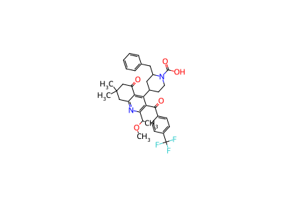 COC(C)c1nc2c(c(C3CCN(C(=O)O)C(Cc4ccccc4)C3)c1C(=O)c1ccc(C(F)(F)F)cc1)C(=O)CC(C)(C)C2